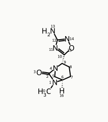 CN1C(=O)N2C[C@H]1CC[C@H]2c1nc(N)no1